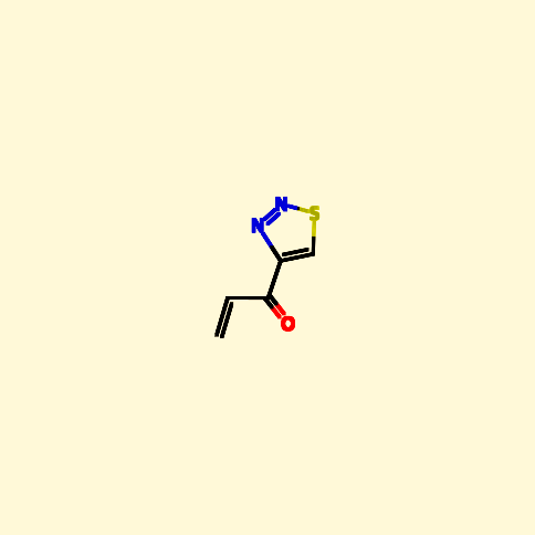 C=CC(=O)c1csnn1